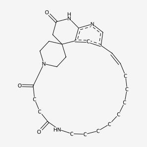 O=C1CCC(=O)N2CCC3(CC2)CC(=O)Nc2ncc(cc23)C=CCCCCCCCCN1